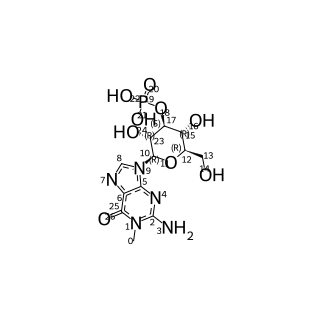 Cn1c(N)nc2c(ncn2[C@@H]2O[C@H](CO)[C@@H](O)[C@H](OP(=O)(O)O)[C@H]2O)c1=O